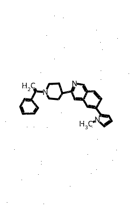 C=C(c1ccccc1)N1CCC(c2cc3cc(-c4cccn4C)ccc3cn2)CC1